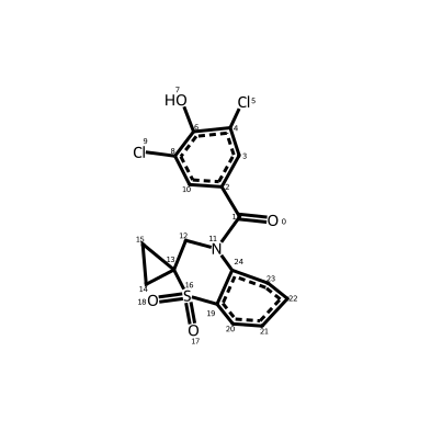 O=C(c1cc(Cl)c(O)c(Cl)c1)N1CC2(CC2)S(=O)(=O)c2ccccc21